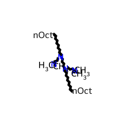 CCCCCCCC/C=C\CCCCCCCCN(CCCCN(CCCCCCCC/C=C\CCCCCCCC)CCCN(C)C)CCCN(C)C